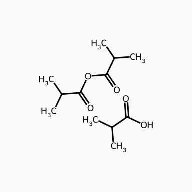 CC(C)C(=O)O.CC(C)C(=O)OC(=O)C(C)C